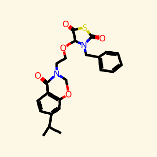 CC(C)c1ccc2c(c1)OCN(CCOC1C(=O)SC(=O)N1Cc1ccccc1)C2=O